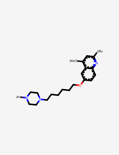 CCCCc1cc(OC)c2cc(OCCCCCCN3CCN(C(C)C)CC3)ccc2n1